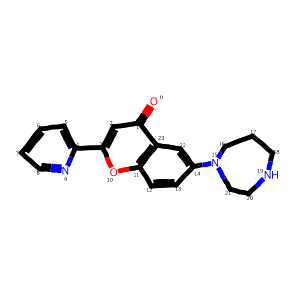 O=c1cc(-c2ccccn2)oc2ccc(N3CCCNCC3)cc12